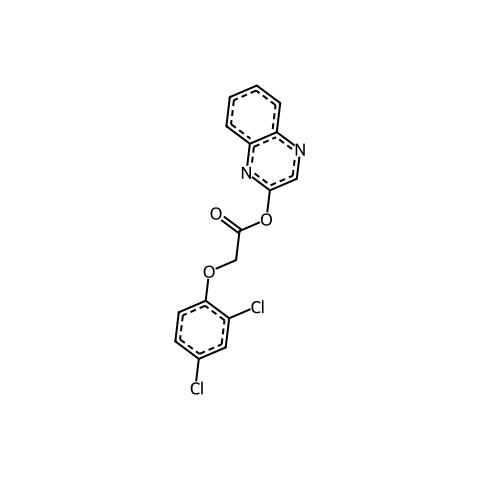 O=C(COc1ccc(Cl)cc1Cl)Oc1cnc2ccccc2n1